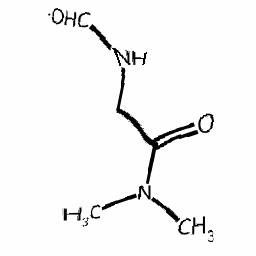 CN(C)C(=O)CN[C]=O